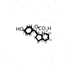 CC(=O)O.Oc1ccc(C=C2CCc3cccnc32)cc1